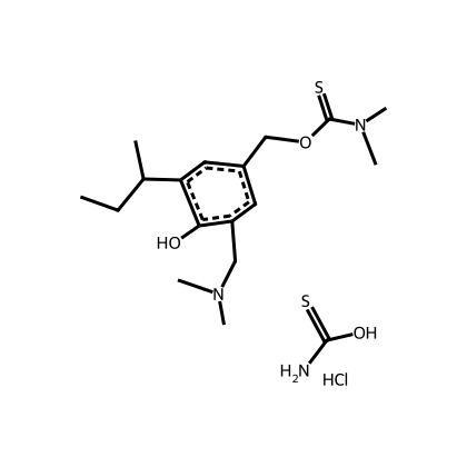 CCC(C)c1cc(COC(=S)N(C)C)cc(CN(C)C)c1O.Cl.NC(O)=S